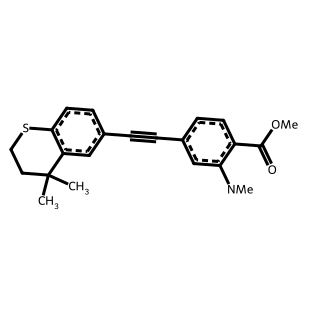 CNc1cc(C#Cc2ccc3c(c2)C(C)(C)CCS3)ccc1C(=O)OC